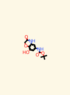 CC(C)(C)OC(=O)Nc1cc(O)c2c(c1)NC(=O)CO2